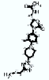 CSCc1nnn(C2CCN(c3ccc(N4C[C@H](CNC(C)=O)OC4=O)cc3F)CC2)n1